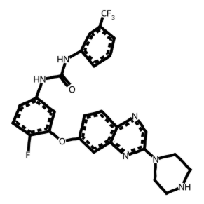 O=C(Nc1cccc(C(F)(F)F)c1)Nc1ccc(F)c(Oc2ccc3ncc(N4CCNCC4)nc3c2)c1